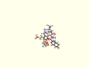 C[C@H](NC(=O)[C@@H]1C[C@@H](N(C)C)CN1C(=O)CNC(=O)c1ccc2cc(F)ccc2n1)c1ccc(OS(=O)(=O)C(F)(F)F)cc1/C=C/C1CC1